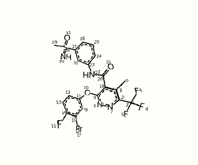 Cc1c(C(F)(F)F)nnc(Oc2ccc(F)c(Br)c2)c1C(=O)Nc1cccc(S(C)(=N)=O)c1